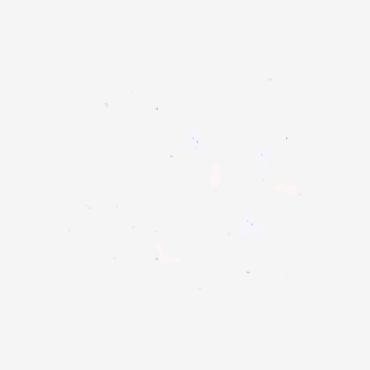 CC(=O)c1cn(CC(=O)N2C3C[C@@H]3C[C@H]2C(=O)NCc2cccc(Cl)c2F)c2cc(OCc3ccccc3)ccc12